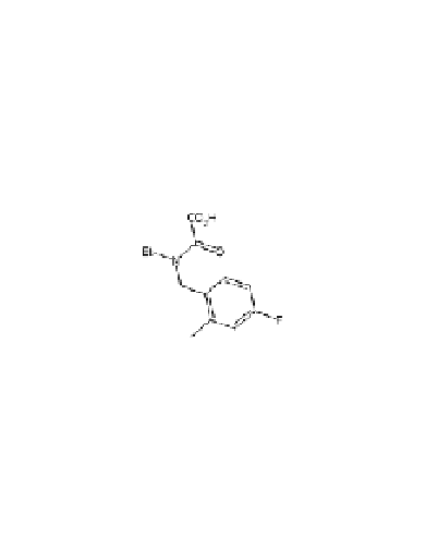 CCN(Cc1ccc(F)cc1C)C(=O)C(=O)O